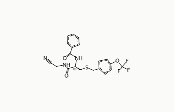 N#CCNC(=O)[C@H](CSCc1ccc(OC(F)(F)F)cc1)NC(=O)c1ccccc1